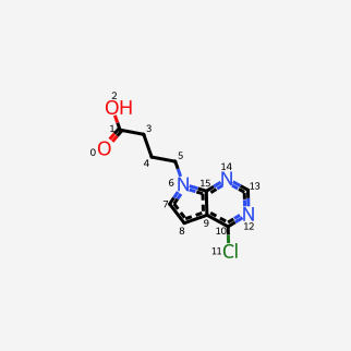 O=C(O)CCCn1ccc2c(Cl)ncnc21